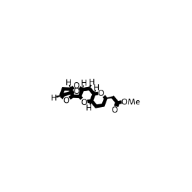 COC(=O)C[C@H]1CC[C@@H]2OC3C4O[C@@H]5C[C@H]4O[C@H]3[C@@H](O5)[C@H]2O1